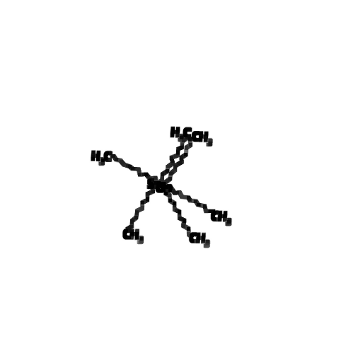 CCCCCCCCCCC[CH2][Sn]([CH2]CCCCCCCCCCC)([CH2]CCCCCCCCCCC)[O][Sn]([CH2]CCCCCCCCCCC)([CH2]CCCCCCCCCCC)[CH2]CCCCCCCCCCC